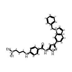 CCN(CC)CCCNc1ccc(C(=O)Nc2cc(-c3ccc4ccn(Cc5ccccc5)c4c3)n[nH]2)cc1